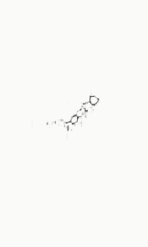 COCCOc1n[nH]c2cc3c(cc12)CN([C@H](C)c1ccccc1)C(=O)N3